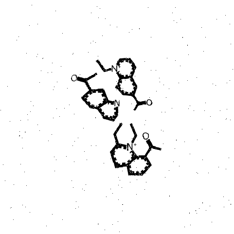 CC(=O)c1ccc2cccnc2c1.CC[n+]1cccc2cc(C(C)=O)ccc21.CCc1ccc2cccc(C(C)=O)c2[n+]1CC